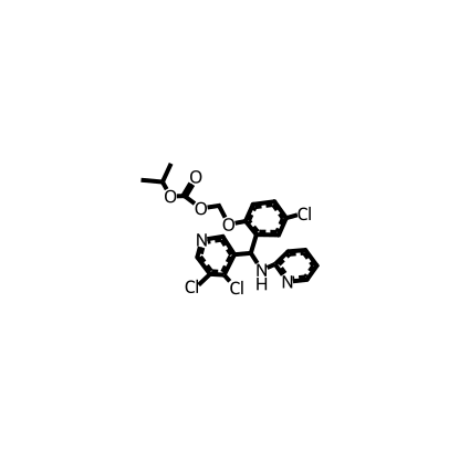 CC(C)OC(=O)OCOc1ccc(Cl)cc1C(Nc1ccccn1)c1cncc(Cl)c1Cl